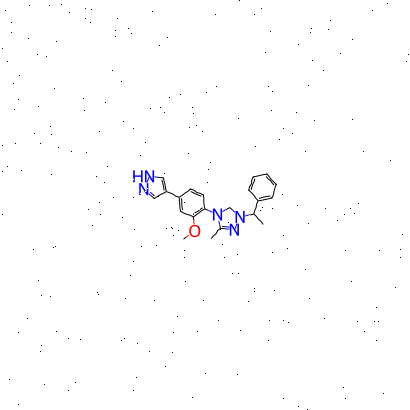 COc1cc(-c2cn[nH]c2)ccc1N1CN(C(C)c2ccccc2)N=C1C